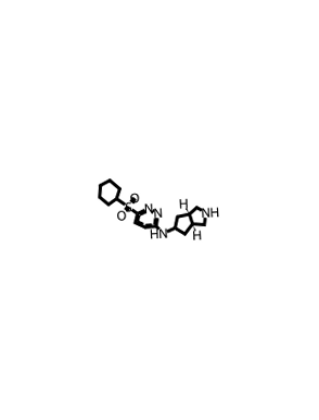 O=S(=O)(c1ccc(NC2C[C@H]3CNC[C@H]3C2)nn1)C1CCCCC1